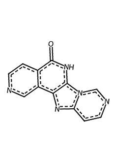 O=c1[nH]c2c(nc3ccncn32)c2cnccc12